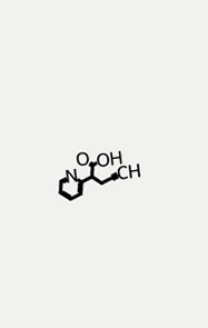 C#CCC(C(=O)O)c1ccccn1